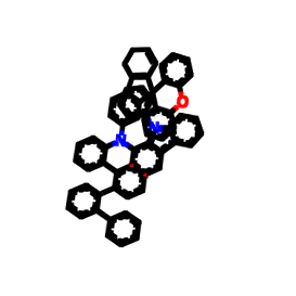 C1=CC2=C(CC1)c1ccc(N(c3ccccc3-c3ccccc3-c3ccccc3-c3ccccc3)c3cccc4c5ccccc5n(-c5ccccc5)c34)cc1C21c2ccccc2Oc2ccccc21